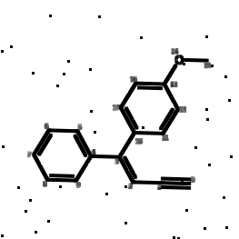 C#CC=C(c1ccccc1)c1ccc(OC)cc1